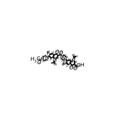 CC(=O)N1CCN(c2cc3c(cc2F)c(=O)c(C(=O)N2CCN(c4cc5c(cc4F)c(=O)c(C(=O)O)cn5C4CC4)CC2)cn3C2CC2)CC1